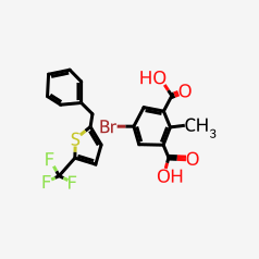 Cc1c(C(=O)O)cc(Br)cc1C(=O)O.FC(F)(F)c1ccc(Cc2ccccc2)s1